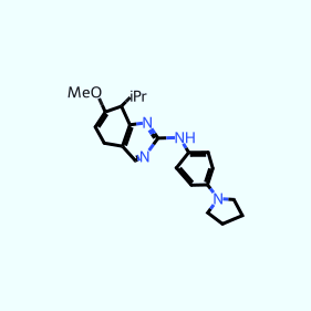 COC1=CCc2cnc(Nc3ccc(N4CCCC4)cc3)nc2C1C(C)C